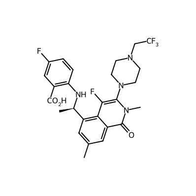 Cc1cc([C@@H](C)Nc2ccc(F)cc2C(=O)O)c2c(F)c(N3CCN(CC(F)(F)F)CC3)n(C)c(=O)c2c1